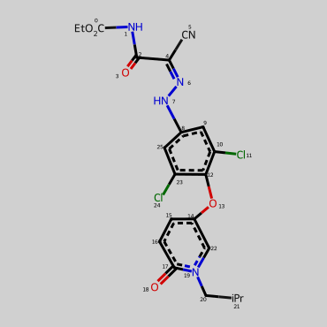 CCOC(=O)NC(=O)C(C#N)=NNc1cc(Cl)c(Oc2ccc(=O)n(CC(C)C)c2)c(Cl)c1